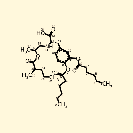 CCCCCC(=O)Oc1ccc(C[C@H](NCC(C)OC(=O)C(C)CCC)C(=O)O)cc1OC(=O)CCCCC